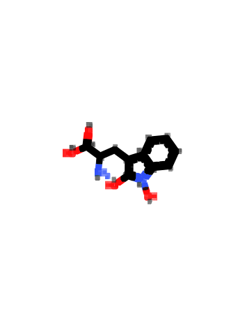 NC(Cc1c(O)n(O)c2ccccc12)C(=O)O